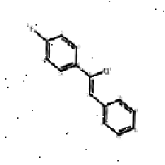 Fc1ccc(C(Cl)=Cc2ccccc2)cc1